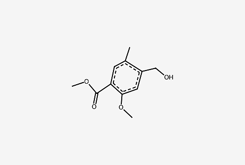 COC(=O)c1cc(C)c(CO)cc1OC